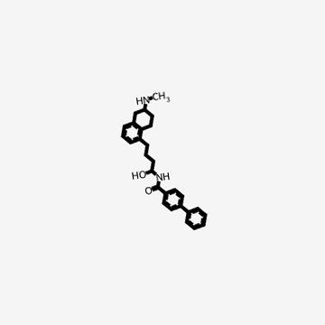 CNC1CCc2c(CCCC(O)NC(=O)c3ccc(-c4ccccc4)cc3)cccc2C1